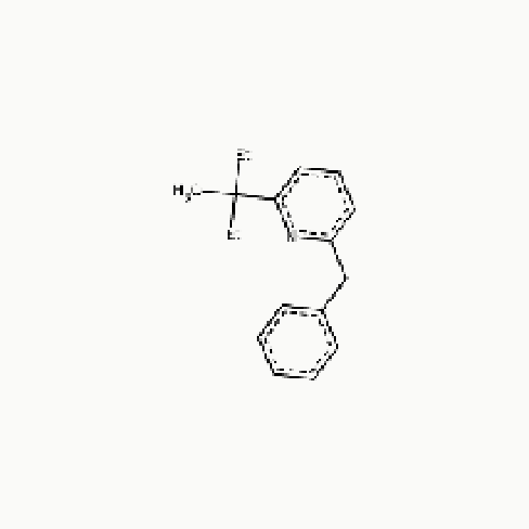 CCC(C)(CC)c1cccc(Cc2ccccc2)n1